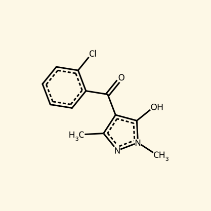 Cc1nn(C)c(O)c1C(=O)c1ccccc1Cl